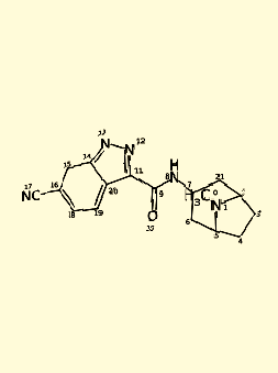 CN1C2CCC1CC(NC(=O)C1=NN=C3CC(C#N)=CC=C31)C2